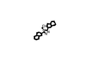 C=Cn1c(-c2ccc3ccccc3c2)nnc1-c1ccc2ccccc2c1